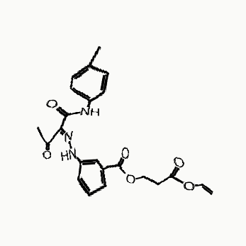 C=COC(=O)CCOC(=O)c1cccc(N/N=C(\C(C)=O)C(=O)Nc2ccc(C)cc2)c1